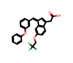 O=C(O)CC1=C/C(=C/c2cccc(Oc3ccccc3)c2)c2cc(OCC(F)(F)F)ccc21